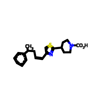 CC(C/C=C\c1csc(C2CCN(C(=O)O)CC2)n1)c1ccccc1